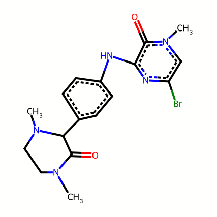 CN1CCN(C)C(c2ccc(Nc3nc(Br)cn(C)c3=O)cc2)C1=O